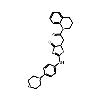 O=C1N=C(Nc2ccc(N3CCOCC3)cc2)SC1CC(=O)N1CCCc2ccccc21